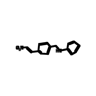 O=[N+]([O-])C=Cc1ccc(CNc2ccccc2)cc1